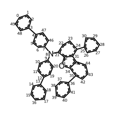 c1ccc(-c2ccc(N(c3ccc(-c4ccccc4)cc3)c3ccc(-c4ccccc4)c4c3oc3c(-c5ccccc5)cccc34)cc2)cc1